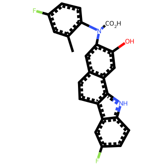 Cc1cc(F)ccc1N(C(=O)O)c1cc2ccc3c4cc(F)ccc4[nH]c3c2cc1O